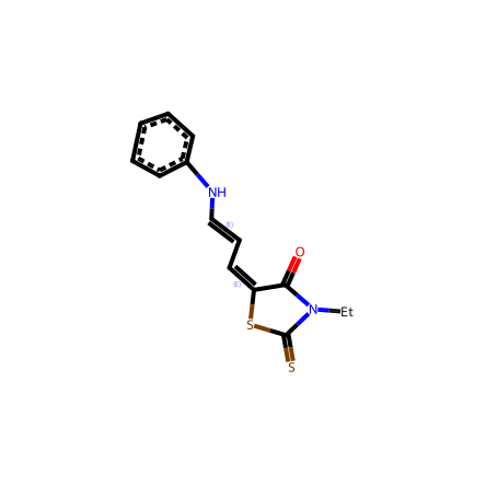 CCN1C(=O)/C(=C\C=C\Nc2ccccc2)SC1=S